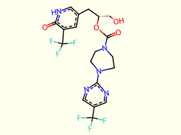 O=C(O[C@@H](CO)Cc1c[nH]c(=O)c(C(F)(F)F)c1)N1CCN(c2ncc(C(F)(F)F)cn2)CC1